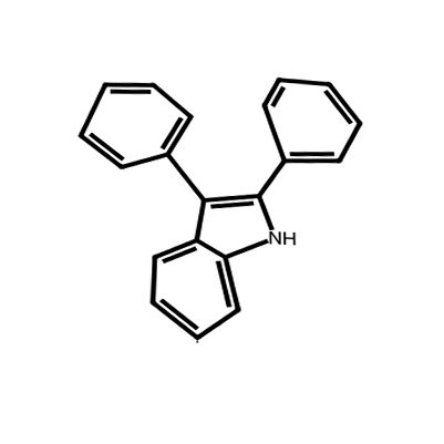 [c]1ccc2c(-c3ccccc3)c(-c3ccccc3)[nH]c2c1